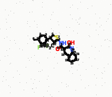 Cc1ccc(C2CSC(NC(=O)c3cc4ccccc4nc3O)=C2C(=O)O)c(F)c1F